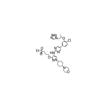 CCS(=O)(=O)CCCOc1nn(C2CCC(N3CCOCC3)CC2)cc1Nc1ncc(-c2ccc(Cl)c(OC(C)Cn3cnnn3)c2)cn1